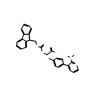 CN(C)c1ncccc1-c1ccc(C[C@H](NC(=O)OCC2c3ccccc3-c3ccccc32)C(=O)O)cc1